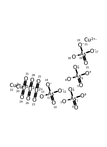 O=[As]([O-])([O-])[O-].O=[As]([O-])([O-])[O-].O=[As]([O-])([O-])[O-].O=[As]([O-])([O-])[O-].[Cu+2].[Cu+2].[Cu+2].[O]=[U+2]=[O].[O]=[U+2]=[O].[O]=[U+2]=[O]